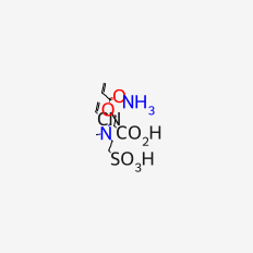 C=CC#N.C=CC(=O)OCCC(=O)O.CN(C)CCS(=O)(=O)O.N